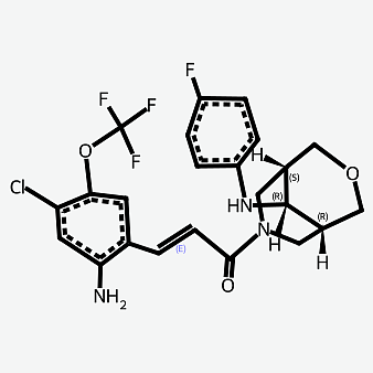 Nc1cc(Cl)c(OC(F)(F)F)cc1/C=C/C(=O)N1C[C@H]2COC[C@@H](C1)[C@H]2Nc1ccc(F)cc1